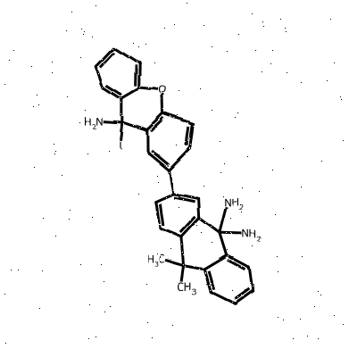 CC1(C)c2ccccc2C(N)(N)c2cc(-c3ccc4c(c3)C(N)(I)c3ccccc3O4)ccc21